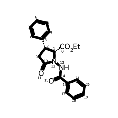 CCOC(=O)[C@H]1[C@@H](c2ccccc2)CC(=O)N1NC(=O)c1ccccc1